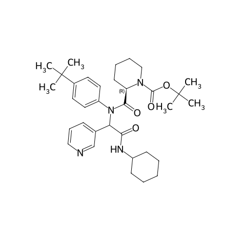 CC(C)(C)OC(=O)N1CCCC[C@@H]1C(=O)N(c1ccc(C(C)(C)C)cc1)C(C(=O)NC1CCCCC1)c1cccnc1